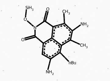 CCCCc1c(N)cc2c3c(c(C)c(N)c(C)c13)C(=O)N(O[SiH3])C2=O